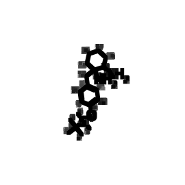 CC(C)(C)[Si](C)(C)Oc1ccc(CC2(N)CCCCC2N)cc1